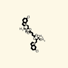 CN(C)C(Cn1ccc2ccc(Cl)cc21)OC(=O)/C=C/C(=O)OC(Cn1ccc2ccc(Cl)cc21)N(C)C